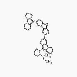 CCC(C)c1ccccc1-n1c2ccccc2c2cc(-c3ccc4oc5ccc(-n6c7ccccc7c7ccccc76)cc5c4c3)ccc21